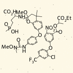 CCOC(=O)C(C)OC(=O)c1cc(Oc2ccc(C(F)(F)F)cc2Cl)ccc1[N+](=O)[O-].CON(C)C(=O)Nc1ccc(Oc2ccc3c(c2)OC(C)(OC)CC3(C)C)cc1.CP(=O)(O)CCC(N)C(=O)O